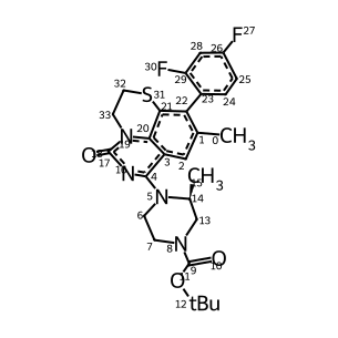 Cc1cc2c(N3CCN(C(=O)OC(C)(C)C)C[C@@H]3C)nc(=O)n3c2c(c1-c1ccc(F)cc1F)SCC3